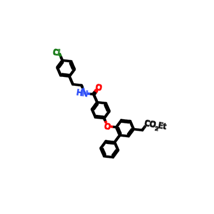 CCOC(=O)Cc1ccc(Oc2ccc(C(=O)NCCc3ccc(Cl)cc3)cc2)c(-c2ccccc2)c1